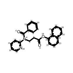 O=C(CCN(C(=O)C1=CC=C=C=C1)c1ccccn1)Oc1cccc2ccccc12